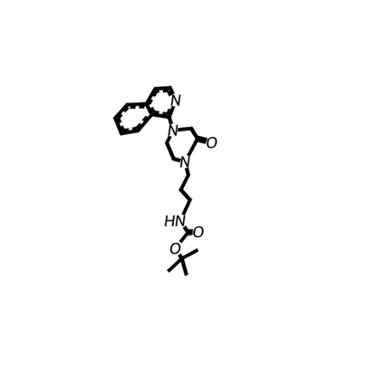 CC(C)(C)OC(=O)NCCCN1CCN(c2nccc3ccccc23)CC1=O